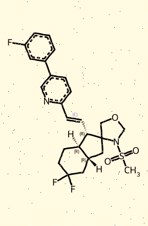 CS(=O)(=O)N1COCC12C[C@@H]1CC(F)(F)CC[C@H]1[C@@H]2/C=C/c1ccc(-c2cccc(F)c2)cn1